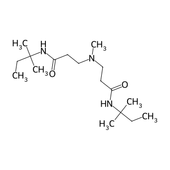 CCC(C)(C)NC(=O)CCN(C)CCC(=O)NC(C)(C)CC